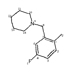 Cc1ccc(F)cc1CN1CCCCC1